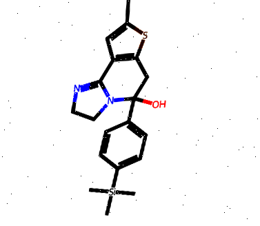 Cc1cc2c(s1)CC(O)(c1ccc([Si](C)(C)C)cc1)N1CCN=C21